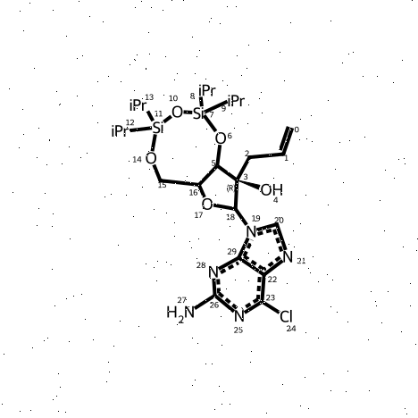 C=CC[C@@]1(O)C2O[Si](C(C)C)(C(C)C)O[Si](C(C)C)(C(C)C)OCC2OC1n1cnc2c(Cl)nc(N)nc21